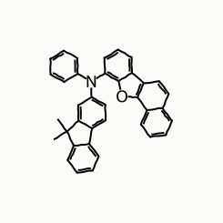 CC1(C)c2ccccc2-c2ccc(N(c3ccccc3)c3cccc4c3oc3c5ccccc5ccc43)cc21